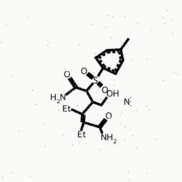 CCC(C(N)=O)=C(CC)C(CO)C(C(N)=O)S(=O)(=O)c1ccc(C)cc1.[N]